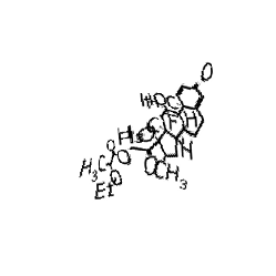 CCOC(C)C(=O)OCC(=O)[C@@]1(O)[C@H](C)C[C@H]2[C@@H]3CCC4=CC(=O)C=C[C@]4(C)[C@@]3(F)[C@@H](O)C[C@@]21C